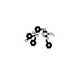 CN(CC(=O)Nc1cccc(S(=O)(=O)N(Cc2ccccc2)c2cccc(Cl)c2)c1)C(=O)OCc1ccccc1